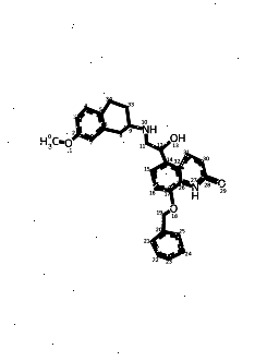 COc1ccc2c(c1)CC(NCC(O)c1ccc(OCc3ccccc3)c3[nH]c(=O)ccc13)CC2